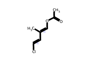 CC(=O)O/C=C(C)/C=C/Cl